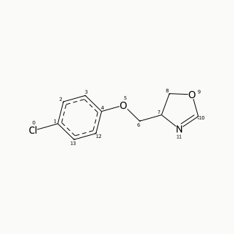 Clc1ccc(OCC2CO[C]=N2)cc1